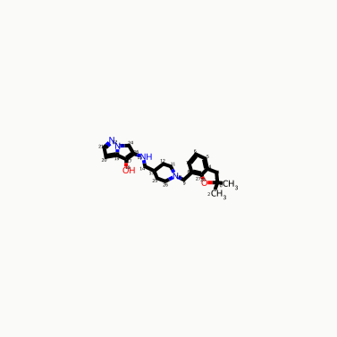 CC1(C)Cc2cccc(CN3CCC(CNC4=C(O)c5ccnn5C4)CC3)c2O1